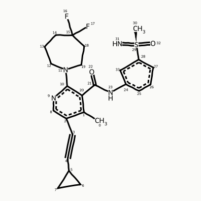 Cc1c(C#CC2CC2)cnc(N2CCCC(F)(F)CC2)c1C(=O)Nc1cccc([S@](C)(=N)=O)c1